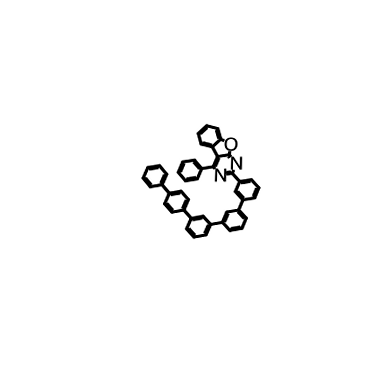 c1ccc(-c2ccc(-c3cccc(-c4cccc(-c5cccc(-c6nc(-c7ccccc7)c7c(n6)oc6ccccc67)c5)c4)c3)cc2)cc1